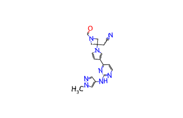 Cn1cc(Nc2nccc(-c3ccn(C4(CC#N)CN(C=O)C4)c3)n2)cn1